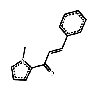 Cn1cccc1C(=O)/C=C/c1ccccc1